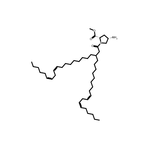 CCCCC/C=C\C/C=C\CCCCCCCCC(CCCCCCCC/C=C\C/C=C\CCCCC)CC(=O)N1C[C@@H](N)C[C@H]1C(=O)OC